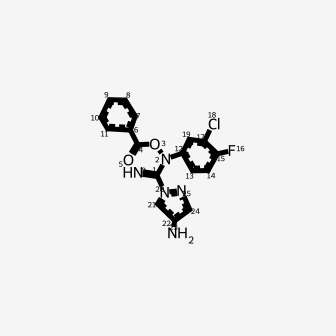 N=C(N(OC(=O)c1ccccc1)c1ccc(F)c(Cl)c1)n1cc(N)cn1